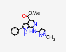 COC(=O)c1cnc(Nc2ccn(C)n2)c2[nH]c(-c3ccccc3)cc12